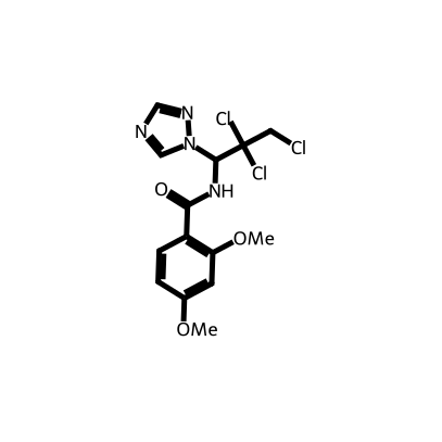 COc1ccc(C(=O)NC(n2cncn2)C(Cl)(Cl)CCl)c(OC)c1